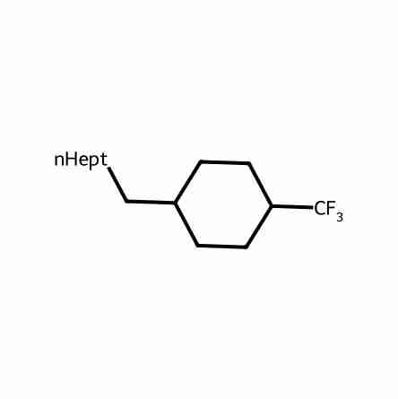 CCCCCCCCC1CCC(C(F)(F)F)CC1